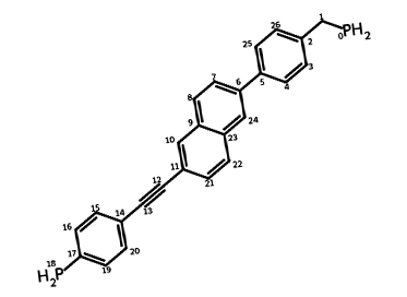 PCc1ccc(-c2ccc3cc(C#Cc4ccc(P)cc4)ccc3c2)cc1